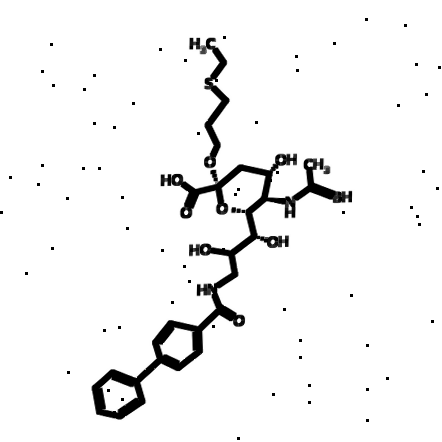 B=C(C)N[C@H]1[C@H]([C@H](O)C(O)CNC(=O)c2ccc(-c3ccccc3)cc2)O[C@@](OCCCSCC)(C(=O)O)C[C@@H]1O